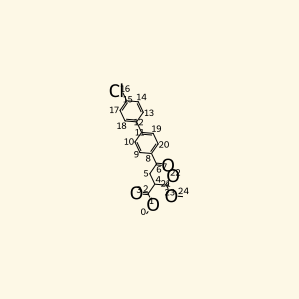 COC(=O)C(CC(=O)c1ccc(-c2ccc(Cl)cc2)cc1)C(=O)OC